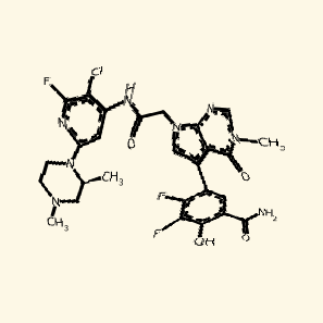 C[C@H]1CN(C)CCN1c1cc(NC(=O)Cn2cc(-c3cc(C(N)=O)c(O)c(F)c3F)c3c(=O)n(C)cnc32)c(Cl)c(F)n1